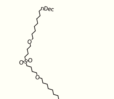 CCCCCCCCCCCCCCCCCCOCCCCS(=O)(=O)CCCCOCCCCCCCCCCCCCCCCCC